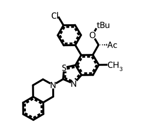 CC(=O)[C@@H](OC(C)(C)C)c1c(C)cc2nc(N3CCc4ccccc4C3)sc2c1-c1ccc(Cl)cc1